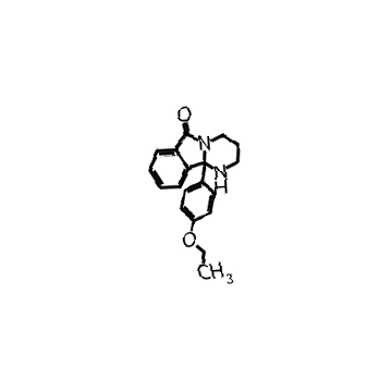 CCOc1ccc(C23NCCCN2C(=O)c2ccccc23)cc1